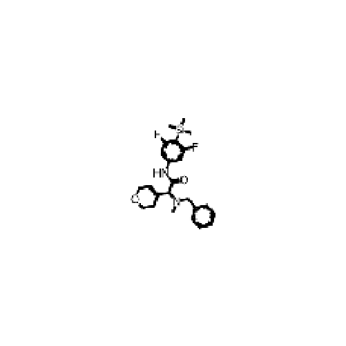 CN(Cc1ccccc1)C(C(=O)Nc1cc(F)c([Si](C)(C)C)c(F)c1)C1=CCOCC1